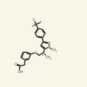 C[C@@H](CSc1cccc(CC(=O)O)c1)c1cc(-c2ccc(C(F)(F)F)cc2)nn1C